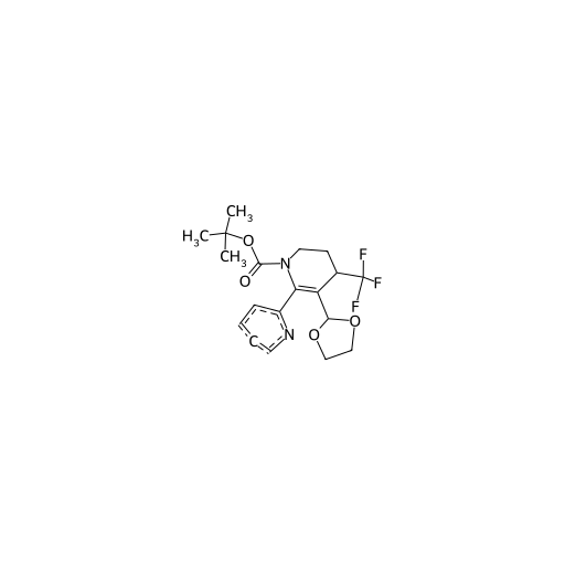 CC(C)(C)OC(=O)N1CCC(C(F)(F)F)C(C2OCCO2)=C1c1ccccn1